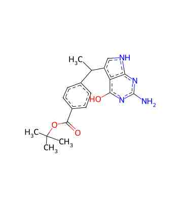 CC(c1ccc(C(=O)OC(C)(C)C)cc1)c1c[nH]c2nc(N)nc(O)c12